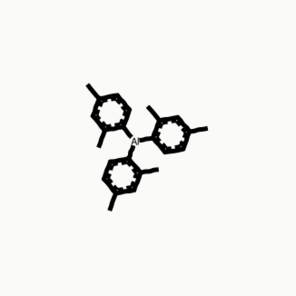 Cc1cc[c]([Al]([c]2ccc(C)cc2C)[c]2ccc(C)cc2C)c(C)c1